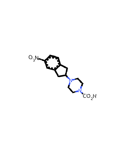 O=C(O)N1CCN(C2Cc3ccc([N+](=O)[O-])cc3C2)CC1